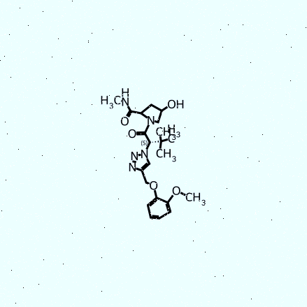 CNC(=O)C1CC(O)CN1C(=O)[C@@H](n1cc(COc2ccccc2OC)nn1)C(C)(C)C